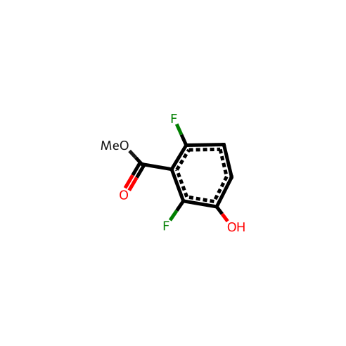 COC(=O)c1c(F)ccc(O)c1F